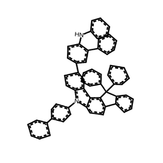 c1ccc(Nc2ccc(-c3ccc4c(c3)c3c5c(ccc3n4-c3ccc(-c4ccccc4)cc3)-c3ccccc3C5(c3ccccc3)c3ccccc3)cc2-c2ccccc2)cc1